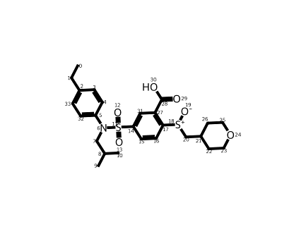 CCc1ccc(N(CC(C)C)S(=O)(=O)c2ccc([S+]([O-])CC3CCOCC3)c(C(=O)O)c2)cc1